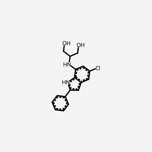 OCC(CO)Nc1cc(Cl)cc2cc(-c3ccccc3)[nH]c12